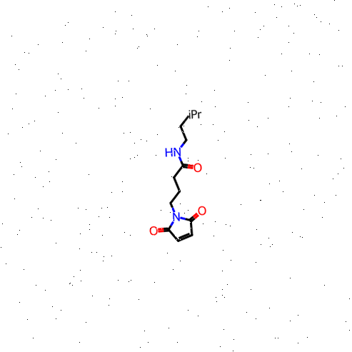 CC(C)CCNC(=O)CCCN1C(=O)C=CC1=O